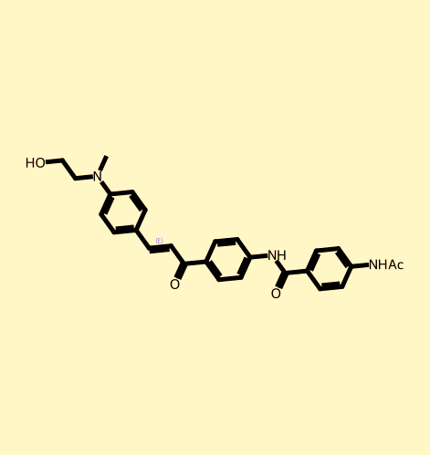 CC(=O)Nc1ccc(C(=O)Nc2ccc(C(=O)/C=C/c3ccc(N(C)CCO)cc3)cc2)cc1